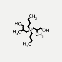 CCCC[N+](CCCC)(CC(C)CO)CC(C)CO